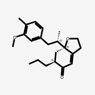 CCC[C@H]1C[C@]2([C@@H](C)Cc3ccc(C)c(OC)c3)OCCC2=CC1=O